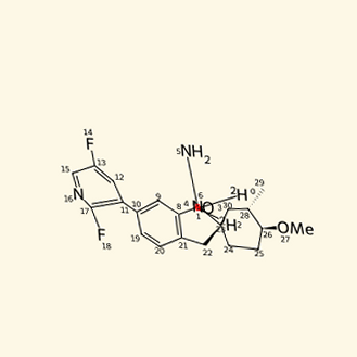 [2H]C1([2H])OC(N)=N[C@]12c1cc(-c3cc(F)cnc3F)ccc1C[C@@]21CC[C@H](OC)[C@@H](C)C1